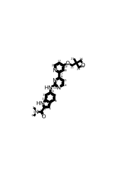 CN(C)C(=O)c1cc2ccc(Nc3nccc(-c4cc(OCC5(C)COC5)ccn4)n3)cc2[nH]1